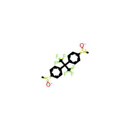 C[S+]([O-])c1ccc(C(c2ccc([S+](C)[O-])cc2)(C(F)(F)F)C(F)(F)F)cc1